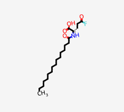 CCCCCCCCCCCCCCCC(=O)N[C@@H](CCC(=O)F)C(=O)O